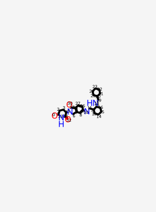 O=C1CCC(N2Cc3cc(/N=C/C4CCCC[C@@H]4NCC4CCCCC4)ccc3C2=O)C(=O)N1